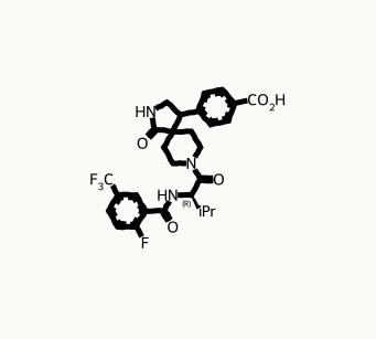 CC(C)[C@@H](NC(=O)c1cc(C(F)(F)F)ccc1F)C(=O)N1CCC2(CC1)C(=O)NCC2c1ccc(C(=O)O)cc1